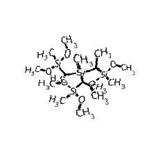 CO[Si](C)(OC)C(C)[Si](C)(C(C)[Si](C)(OC)OC)C(C)[Si](C)(OC)OC